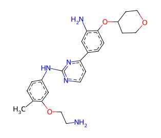 Cc1ccc(Nc2nccc(-c3ccc(OC4CCOCC4)c(N)c3)n2)cc1OCCN